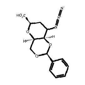 [N-]=[N+]=NC1C[C@H](C(=O)O)O[C@@H]2CO[C@H](c3ccccc3)O[C@H]12